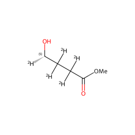 [2H][C@H](O)C([2H])([2H])C([2H])([2H])C(=O)OC